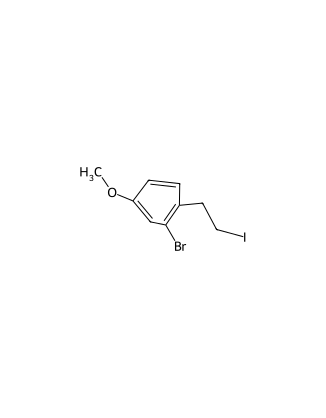 COc1ccc(CCI)c(Br)c1